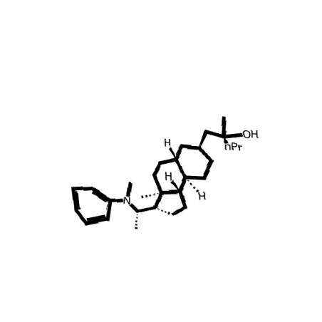 CCC[C@@](C)(O)C[C@H]1CC[C@@H]2[C@H](CC[C@]3(C)[C@@H]([C@H](C)N(C)c4ccccc4)CC[C@@H]23)C1